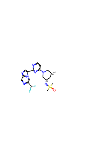 C[C@@H]1C[C@H](N=S(C)(C)=O)CN(c2ccnc(-c3cnc4cnc(C(F)F)cn34)n2)C1